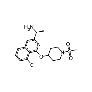 C[C@H](N)c1cc2cccc(Cl)c2c(OC2CCN(S(C)(=O)=O)CC2)n1